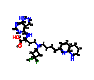 O=C(O)[C@H](CCN(CCCCc1ccc2c(n1)NCCC2)C1CC(F)(F)C1)Nc1ncnc2[nH]ncc12